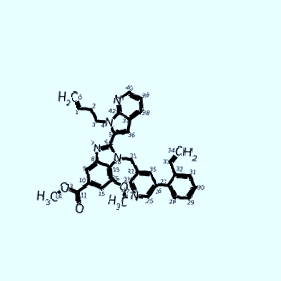 C=CCCn1c(-c2nc3cc(C(=O)OC)cc(OC)c3n2Cc2cncc(-c3ccccc3C=C)c2)cc2cccnc21